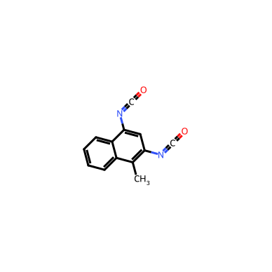 Cc1c(N=C=O)cc(N=C=O)c2ccccc12